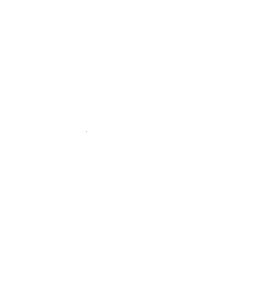 [CH2]C(O)COCCCCC